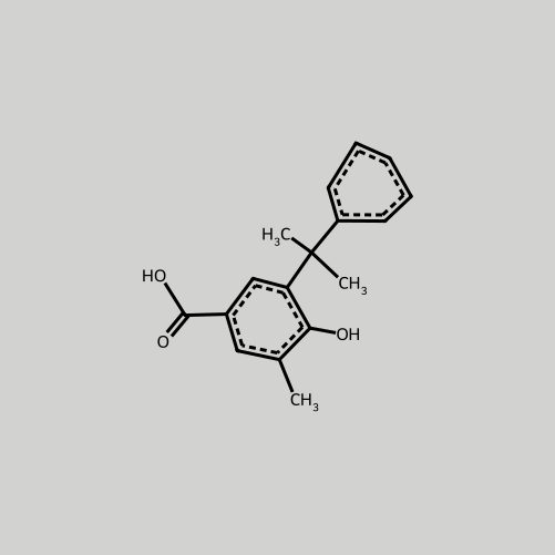 Cc1cc(C(=O)O)cc(C(C)(C)c2ccccc2)c1O